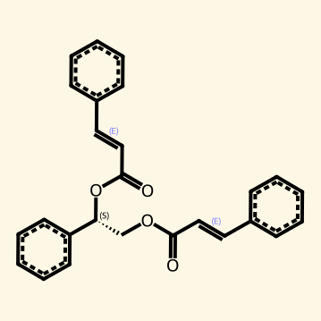 O=C(/C=C/c1ccccc1)OC[C@@H](OC(=O)/C=C/c1ccccc1)c1ccccc1